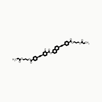 C=CC(=O)OCCCOC(=O)c1ccc(C#Cc2ccc(C(=O)Oc3ccc4cc(C#Cc5ccc(C(=O)OCCCOC(=O)C=C)cc5)ccc4c3)c(F)c2)cc1